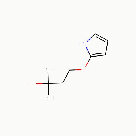 CC(C)(O)CCOc1ccc[nH]1